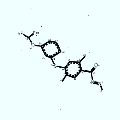 CN=NC(=O)c1cc(C)c(Sc2cccc(OC(F)F)c2)cc1C